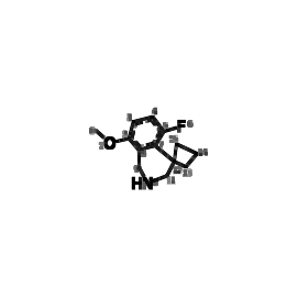 COc1ccc(F)c2c1CNCC21CCC1